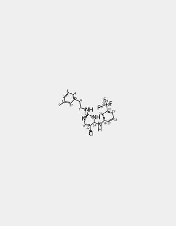 Cc1cccc(CCNC2=NC=C(Cl)C(Nc3cccc(C(F)(F)F)c3)N2)c1